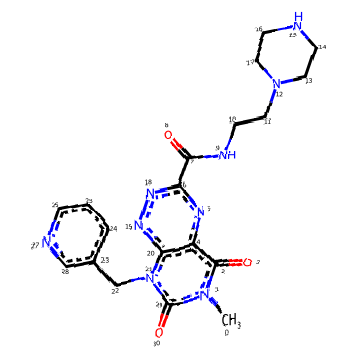 Cn1c(=O)c2nc(C(=O)NCCN3CCNCC3)nnc2n(Cc2cccnc2)c1=O